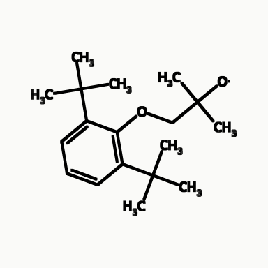 CC(C)([O])COc1c(C(C)(C)C)cccc1C(C)(C)C